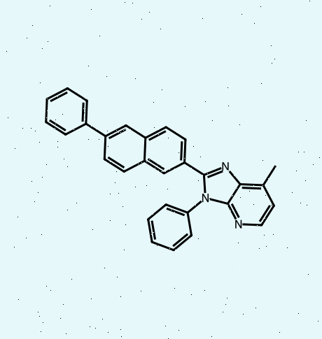 Cc1ccnc2c1nc(-c1ccc3cc(-c4ccccc4)ccc3c1)n2-c1ccccc1